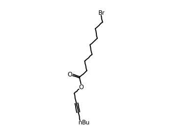 CCCCC#CCOC(=O)CCCCCCCBr